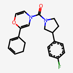 O=C(N1C=COC(C2=CC=CCC2)=C1)N1CCC(c2ccc(F)cc2)C1